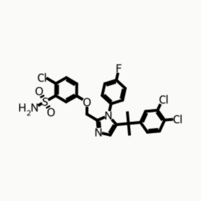 CC(C)(c1ccc(Cl)c(Cl)c1)c1cnc(COc2ccc(Cl)c(S(N)(=O)=O)c2)n1-c1ccc(F)cc1